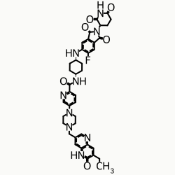 CCc1cc2ncc(CN3CCN(c4ccc(C(=O)N[C@H]5CC[C@@H](Nc6cc7c(cc6F)C(=O)N(C6CCC(=O)NC6=O)C7=O)CC5)nc4)CC3)cc2[nH]c1=O